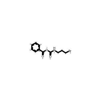 O=C(NCCCBr)OC(=O)c1ccccc1